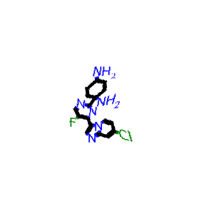 NC1CCC(N)(c2ncc(F)c(-c3cnc4cc(Cl)ccn34)n2)CC1